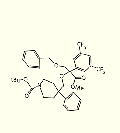 COC(=O)C(COCc1ccccc1)(OCC1(c2ccccc2)CCN(C(=O)OC(C)(C)C)CC1)c1cc(C(F)(F)F)cc(C(F)(F)F)c1